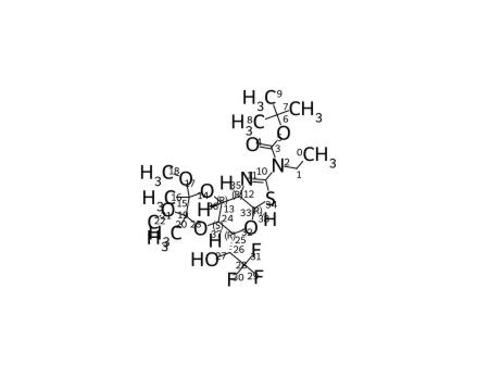 CCN(C(=O)OC(C)(C)C)C1=N[C@@H]2[C@H]3OC(C)(OC)C(C)(OC)O[C@@H]3[C@@H](C(O)C(F)(F)F)O[C@@H]2S1